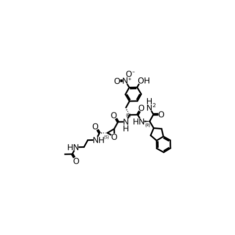 CC(=O)NCCNC(=O)[C@H]1OC1C(=O)N[C@H](Cc1ccc(O)c([N+](=O)[O-])c1)C(=O)N[C@@H](C(N)=O)C1Cc2ccccc2C1